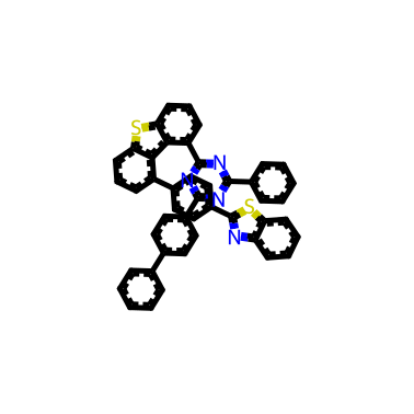 c1ccc(-c2ccc(-c3nc(-c4ccccc4)nc(-c4cccc5sc6cccc(-c7ccc(-c8nc9ccccc9s8)cc7)c6c45)n3)cc2)cc1